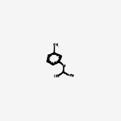 CCCC(O)Oc1cccc(C)c1